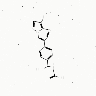 CC(NC(=O)O)c1ccc(-c2cnc3c(Br)cnn3c2)cc1